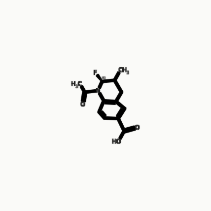 CC(=O)N1c2ccc(C(=O)O)cc2CC(C)[C@@H]1F